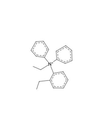 CCc1ccccc1[N+](CC)(c1ccccc1)c1ccccc1